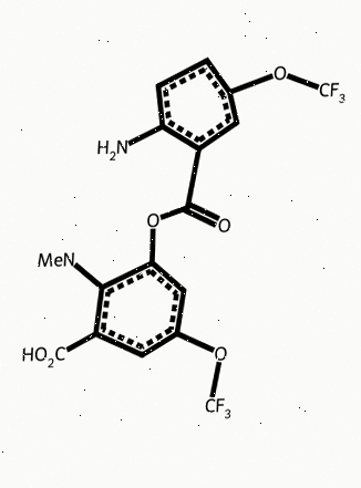 CNc1c(OC(=O)c2cc(OC(F)(F)F)ccc2N)cc(OC(F)(F)F)cc1C(=O)O